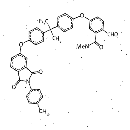 CNC(=O)c1cc(Oc2ccc(C(C)(C)c3ccc(Oc4ccc5c(c4)C(=O)N(c4ccc(C)cc4)C5=O)cc3)cc2)ccc1C=O